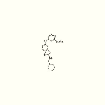 CNc1cc(Oc2ccc3nc(NCC4CCCCC4)sc3c2)ccn1